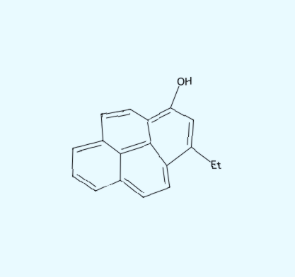 CCc1cc(O)c2ccc3cccc4ccc1c2c34